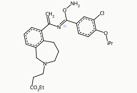 C=C(/N=C(\ON)c1ccc(OC(C)C)c(Cl)c1)c1cccc2c1CCCN(CCC(=O)OCC)C2